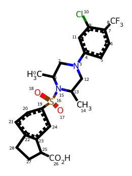 CC1CN(c2ccc(C(F)(F)F)c(Cl)c2)CC(C)N1S(=O)(=O)c1ccc2c(c1)C(C(=O)O)CC2